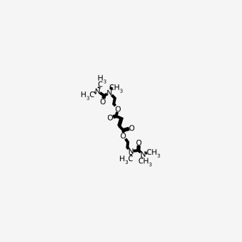 CN(C)C(=O)N(C)CCOC(=O)/C=C/C(=O)OCCN(C)C(=O)N(C)C